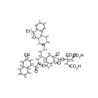 CC[S+]([O-])c1ccccc1C1CCN(CCC(CN(C)C(=O)c2cc(C#N)cc3ccccc23)c2ccc(Cl)c(Cl)c2)CC1.O=C(O)CC(O)(CC(=O)O)C(=O)O